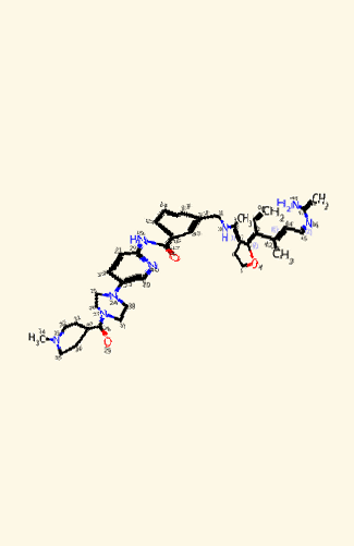 C=CC(=C1/OCC/C1=C(/C)NCc1cccc(C(=O)Nc2ccc(N3CCN(C(=O)C4CCN(C)CC4)CC3)cn2)c1)/C(C)=C/C=N\C(=C)N